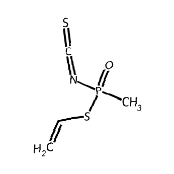 C=CSP(C)(=O)N=C=S